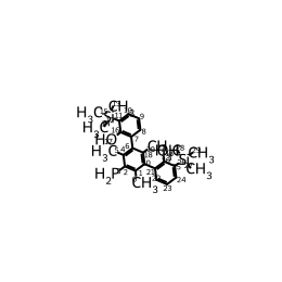 Cc1c(P)c(C)c(-c2cccc([Si](C)(C)C)c2O)c(C)c1-c1cccc([Si](C)(C)C)c1O